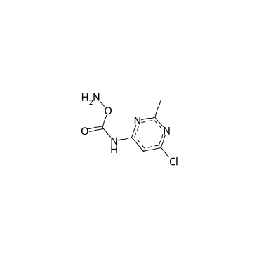 Cc1nc(Cl)cc(NC(=O)ON)n1